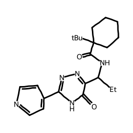 CCC(NC(=O)C1(C(C)(C)C)CCCCC1)c1nnc(-c2ccncc2)[nH]c1=O